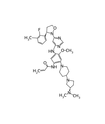 C=CC(=O)Nc1cc(Nc2cc(N3OCC[C@@H]3c3cccc(C)c3F)ncn2)c(OC)cc1N1CCC(N2CC[C@@H](N(C)C)C2)CC1